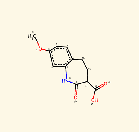 COc1ccc2c(c1)NC(=O)C(C(=O)O)CC2